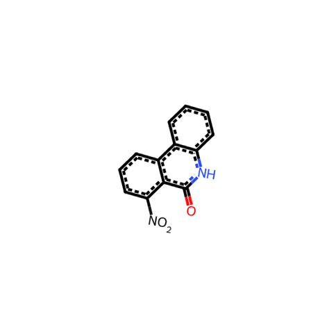 O=c1[nH]c2ccccc2c2cccc([N+](=O)[O-])c12